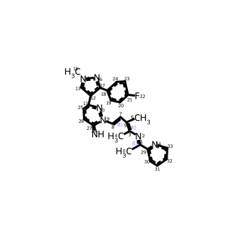 C\C(=N/C(C)=C(C)/C=C/n1nc(-c2cn(C)nc2-c2ccc(F)cc2)ccc1=N)c1ccccn1